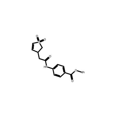 CC(C)OC(=O)c1ccc(NC(=O)CC2C=CS(=O)(=O)C2)cc1